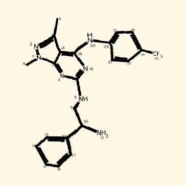 Cc1nn(C)c2nc(NCC(N)c3ccccc3)nc(Nc3ccc(C(F)(F)F)cc3)c12